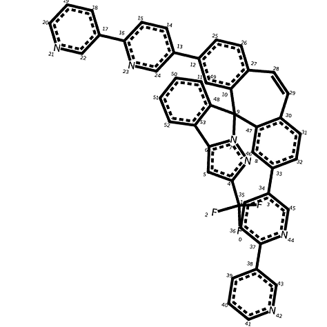 FC(F)(F)c1cc2n(n1)C1(c3cc(-c4ccc(-c5cccnc5)nc4)ccc3C=Cc3ccc(-c4ccc(-c5cccnc5)nc4)cc31)c1ccccc1-2